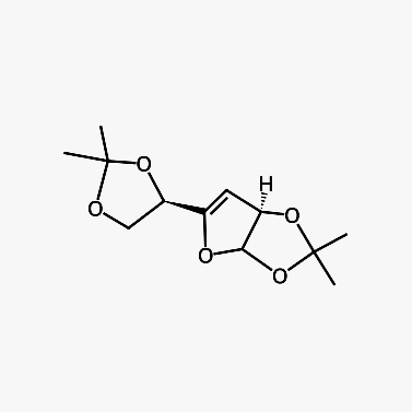 CC1(C)OC[C@H](C2=C[C@H]3OC(C)(C)OC3O2)O1